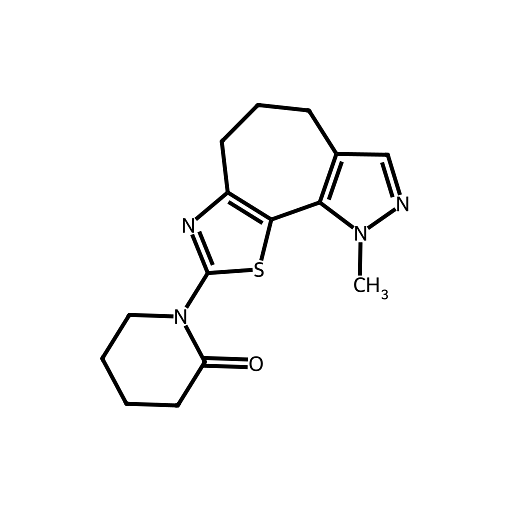 Cn1ncc2c1-c1sc(N3CCCCC3=O)nc1CCC2